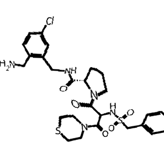 NCc1ccc(Cl)cc1CNC(=O)[C@@H]1CCCN1C(=O)C(NS(=O)(=O)Cc1ccccc1)C(=O)N1CCSCC1